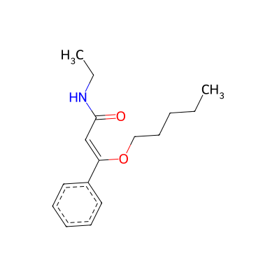 CCCCCO/C(=C\C(=O)NCC)c1ccccc1